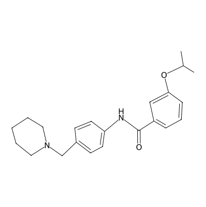 CC(C)Oc1cccc(C(=O)Nc2ccc(CN3CCCCC3)cc2)c1